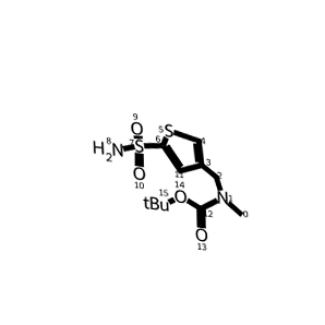 CN(Cc1csc(S(N)(=O)=O)c1)C(=O)OC(C)(C)C